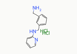 Cl.Cl.NCc1cccc(CNc2ccccn2)c1